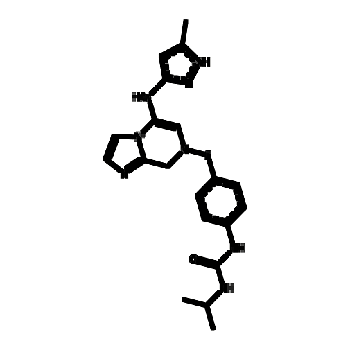 Cc1cc([AsH]C2=CN(Sc3ccc(NC(=O)NC(C)C)cc3)CC3=NC=C[N+]23)n[nH]1